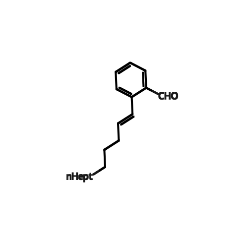 CCCCCCCCCCC=Cc1ccccc1C=O